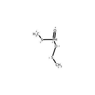 CSO[PH](=O)SC